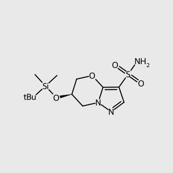 CC(C)(C)[Si](C)(C)O[C@H]1COc2c(S(N)(=O)=O)cnn2C1